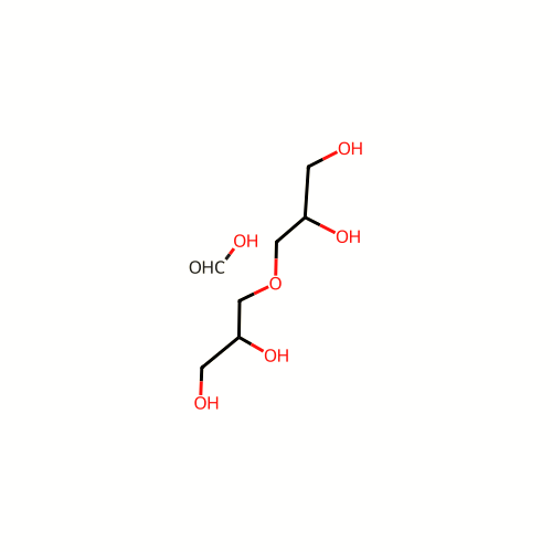 O=CO.OCC(O)COCC(O)CO